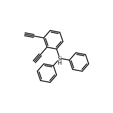 C#Cc1cccc([SiH](c2ccccc2)c2ccccc2)c1C#C